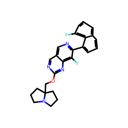 Fc1c(-c2cccc3cccc(F)c23)ncc2cnc(OCC34CCCN3CCC4)nc12